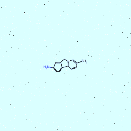 Bc1ccc2c(c1)Cc1cc(N)ccc1-2